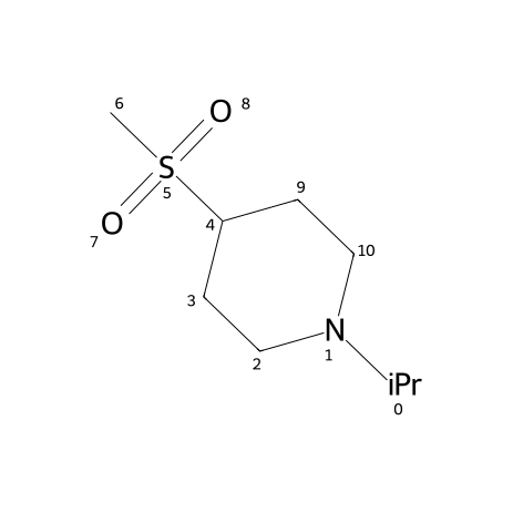 CC(C)N1CCC(S(C)(=O)=O)CC1